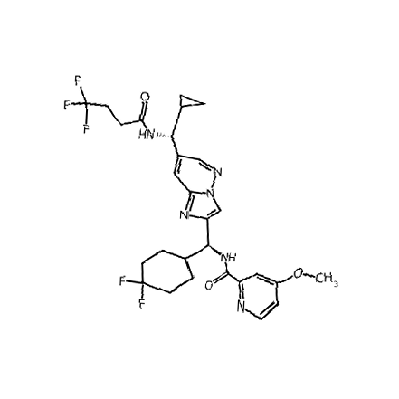 COc1ccnc(C(=O)N[C@H](c2cn3ncc([C@H](NC(=O)CCC(F)(F)F)C4CC4)cc3n2)C2CCC(F)(F)CC2)c1